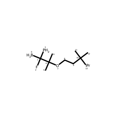 BC(F)(P)C(C)(C)OCCC(C)(C)C(C)C